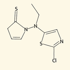 CCN(c1cnc(Cl)s1)N1C=CCC1=S